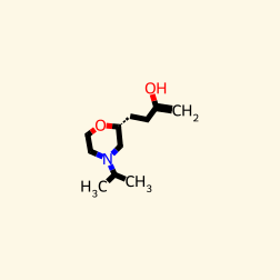 C=C(O)CC[C@@H]1CN(C(C)C)CCO1